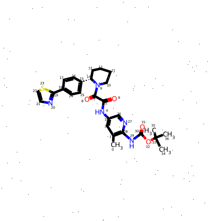 Cc1cc(NC(=O)C(=O)N2CCCC[C@H]2c2ccc(-c3nccs3)cc2)cnc1NC(=O)OC(C)(C)C